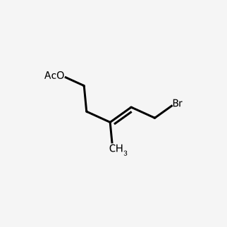 CC(=O)OCCC(C)=CCBr